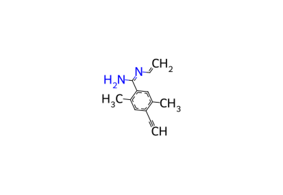 C#Cc1cc(C)c(/C(N)=N\C=C)cc1C